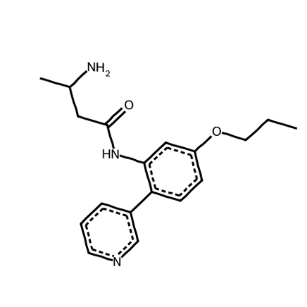 CCCOc1ccc(-c2cccnc2)c(NC(=O)CC(C)N)c1